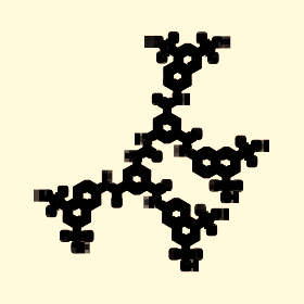 O=C(Nc1cc(C(=O)Nc2ccc3c(S(=O)(=O)O)cc(S(=O)(=O)O)cc3c2)cc(C(=O)Nc2ccc3c(S(=O)(=O)O)cc(S(=O)(=O)O)cc3c2)c1)Nc1cc(C(=O)Nc2ccc3c(S(=O)(=O)O)cc(S(=O)(=O)O)cc3c2)cc(C(=O)Nc2ccc3c(S(=O)(=O)O)cc(S(=O)(=O)O)cc3c2)c1